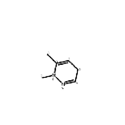 CC1=CCC=NN1C